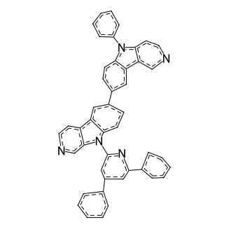 c1ccc(-c2cc(-c3ccccc3)nc(-n3c4ccc(-c5ccc6c(c5)c5cnccc5n6-c5ccccc5)cc4c4ccncc43)c2)cc1